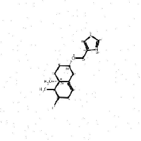 CC1C(I)CC=C2C[C@@H](OCc3cscn3)CC[C@@]21C